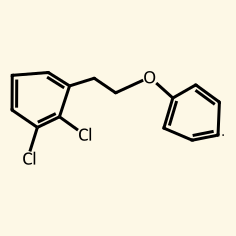 Clc1cccc(CCOc2cc[c]cc2)c1Cl